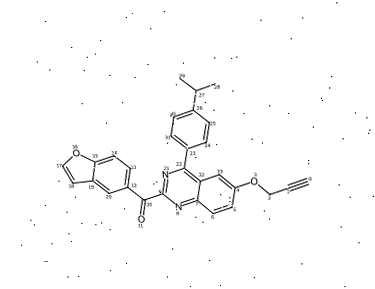 C#CCOc1ccc2nc(C(=O)c3ccc4occc4c3)nc(-c3ccc(C(C)C)cc3)c2c1